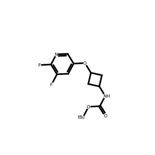 CC(C)(C)OC(=O)NC1CC(Oc2cnc(F)c(F)c2)C1